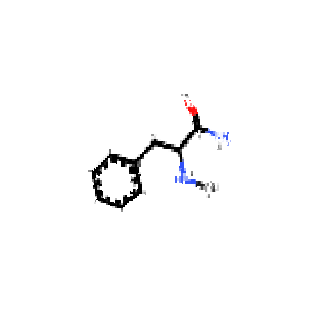 CCCCNC(Cc1ccccc1)C(N)=O